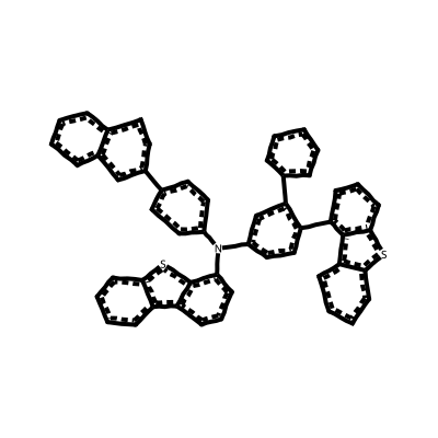 c1ccc(-c2cc(N(c3ccc(-c4ccc5ccccc5c4)cc3)c3cccc4c3sc3ccccc34)ccc2-c2cccc3sc4ccccc4c23)cc1